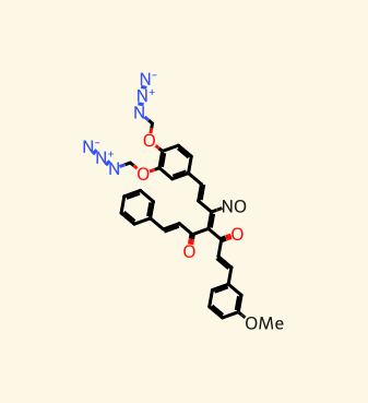 COc1cccc(/C=C/C(=O)/C(C(=O)/C=C/c2ccccc2)=C(/C=C/c2ccc(OCN=[N+]=[N-])c(OCN=[N+]=[N-])c2)N=O)c1